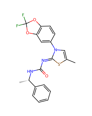 Cc1cn(-c2ccc3c(c2)OC(F)(F)O3)c(=NC(=O)N[C@@H](C)c2ccccc2)s1